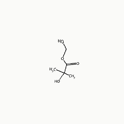 CC(C)(O)C(=O)OCO